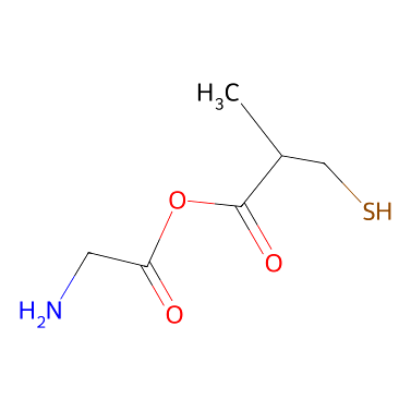 CC(CS)C(=O)OC(=O)CN